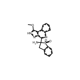 COc1[nH]nc2c(C3(N)Cc4ccccc4S3(=O)=O)nc3ccccc3c12